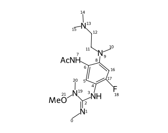 C/N=C(/Nc1cc(NC(C)=O)c(N(C)CCN(C)C)cc1F)N(C)OC